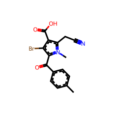 Cc1ccc(C(=O)c2c(Br)c(C(=O)O)c(CC#N)n2C)cc1